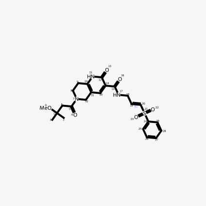 COC(C)(C)CC(=O)N1CCc2[nH]c(=O)c(C(=O)NC/C=C/S(=O)(=O)c3ccccc3)cc2C1